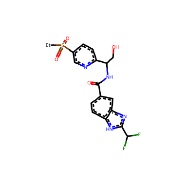 CCS(=O)(=O)c1ccc(C(CO)NC(=O)c2ccc3[nH]c(C(F)F)nc3c2)nc1